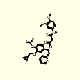 COc1ccc(NC(=O)CC(=O)OC(Cc2ccccn2)c2ccc(OC(F)F)c(OCC3CC3)c2)cc1OC